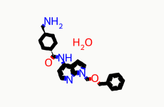 NC[C@H]1CC[C@H](C(=O)Nc2ccnc3c2ccn3COCc2ccccc2)CC1.O